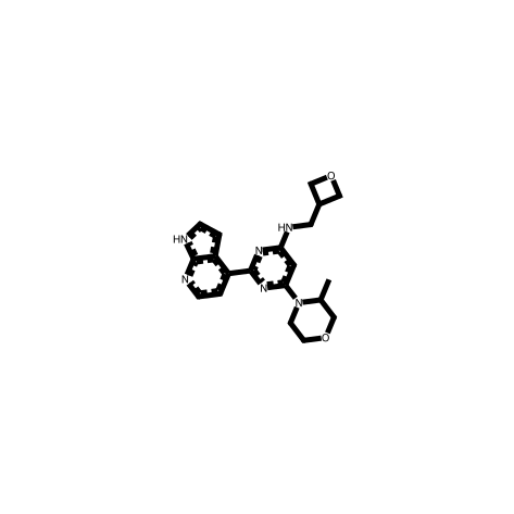 CC1COCCN1c1cc(NCC2COC2)nc(-c2ccnc3[nH]ccc23)n1